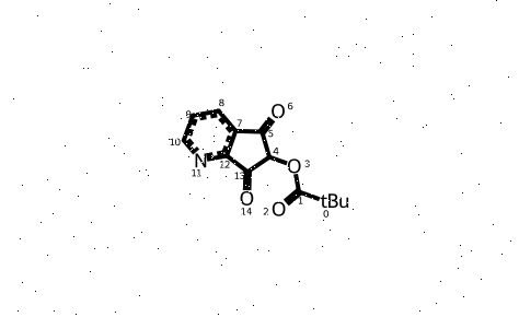 CC(C)(C)C(=O)OC1C(=O)c2cccnc2C1=O